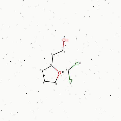 ClCCl.OCCC1CCCO1